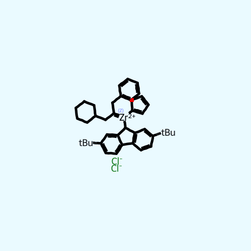 CC(C)(C)c1ccc2c(c1)[CH](/[Zr+2]([C]1=CC=CC1)=[C](/Cc1ccccc1)CC1CCCCC1)c1cc(C(C)(C)C)ccc1-2.[Cl-].[Cl-]